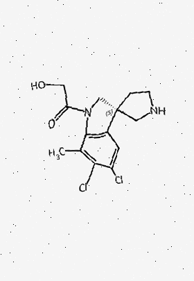 Cc1c(Cl)c(Cl)cc2c1N(C(=O)CO)C[C@@]21CCNC1